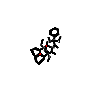 CO[Si](OC)(c1ccccc1)C(C)[SiH](C(C)[Si](OC)(OC)c1ccccc1)C(C)[Si](OC)(OC)c1ccccc1